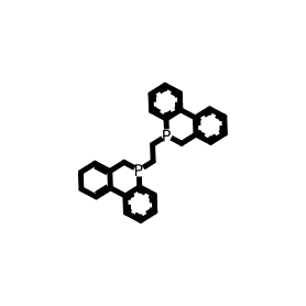 C1=C2CP(CCP3Cc4ccccc4-c4ccccc43)c3ccccc3C2=CCC1